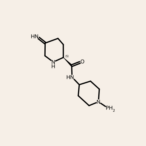 N=C1CC[C@@H](C(=O)NC2CCN(P)CC2)NC1